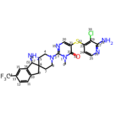 Cn1c(N2CCC3(CC2)Cc2ccc(C(F)(F)F)cc2[C@H]3N)ncc(Sc2ccnc(N)c2Cl)c1=O